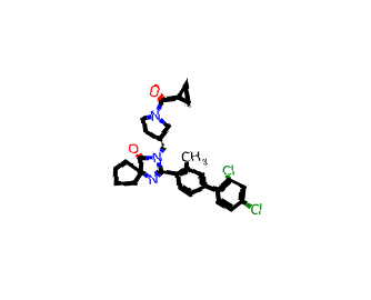 Cc1cc(-c2ccc(Cl)cc2Cl)ccc1C1=NC2(CCCC2)C(=O)N1C[C@@H]1CCN(C(=O)C2CC2)C1